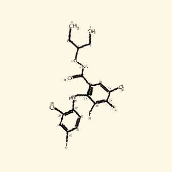 CCC(CO)ONC(=O)c1cc(Cl)c(F)c(F)c1Nc1ccc(I)cc1Cl